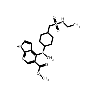 CCNS(=O)(=O)CC1CCC(N(C)c2c(C(=O)OC)cnc3[nH]ccc23)CC1